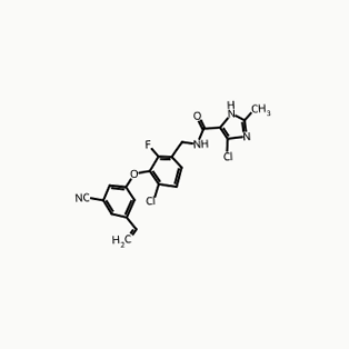 C=Cc1cc(C#N)cc(Oc2c(Cl)ccc(CNC(=O)c3[nH]c(C)nc3Cl)c2F)c1